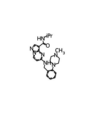 CC(C)NC(=O)c1cnn2ccc(NCc3ccccc3N3CCN(C)CC3)nc12